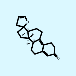 C[C@]12CCC3=C4CCC(=O)C=C4CC[C@H]3[C@@H]1CCC21CC=CO1